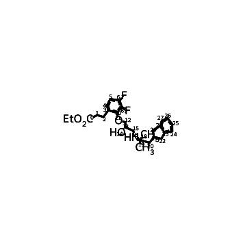 CCOC(=O)CCc1ccc(F)c(F)c1OCC(O)CNC(C)(C)CC1Cc2ccccc2C1